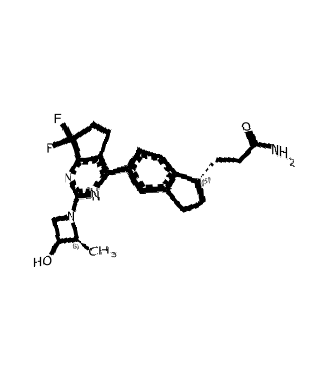 C[C@H]1C(O)CN1c1nc(-c2ccc3c(c2)CC[C@H]3CCC(N)=O)c2c(n1)C(F)(F)CC2